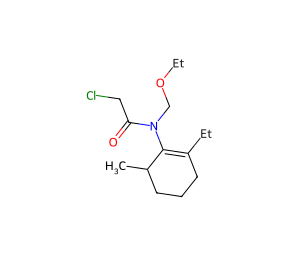 CCOCN(C(=O)CCl)C1=C(CC)CCCC1C